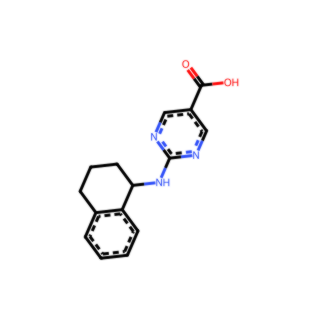 O=C(O)c1cnc(NC2CCCc3ccccc32)nc1